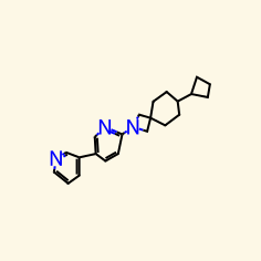 c1cncc(-c2ccc(N3CC4(CCC(C5CCC5)CC4)C3)nc2)c1